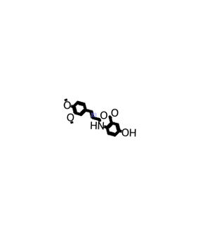 COc1ccc(/C=C/C(=O)Nc2ccc(O)cc2C=O)cc1OC